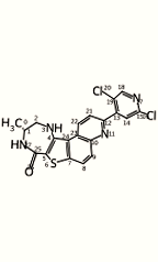 C[C@@H]1CNc2c(sc3ccc4nc(-c5cc(Cl)ncc5Cl)ccc4c23)C(=O)N1